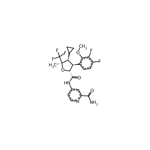 COc1c([C@H]2[C@H](C(=O)Nc3ccnc(C(N)=O)c3)O[C@@](C)(C(F)(F)F)[C@H]2C2CC2)ccc(F)c1F